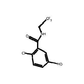 O=Nc1ccc(Cl)c(C(=O)NCC(F)(F)F)c1